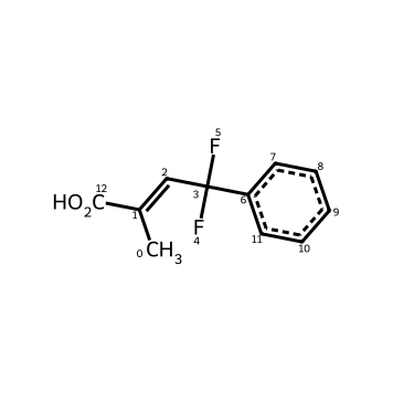 C/C(=C\C(F)(F)c1ccccc1)C(=O)O